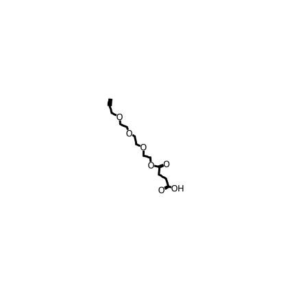 C#CCOCCOCCOCCOC(=O)CCC(=O)O